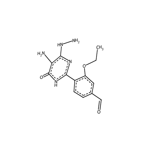 CCOc1cc(C=O)ccc1-c1nc(NN)c(N)c(=O)[nH]1